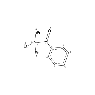 CCC[PH](CC)(CC)C(=O)c1ccccc1